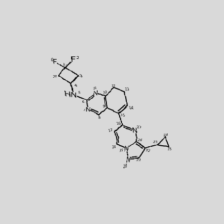 FC1(F)CC(Nc2ncc3c(n2)CCC=C3c2ccn3ncc(C4CC4)c3n2)C1